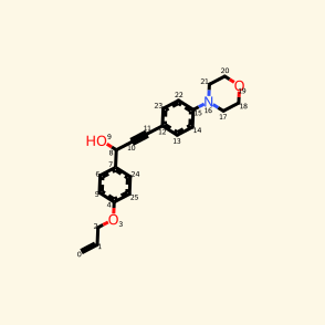 C=CCOc1ccc(C(O)C#Cc2ccc(N3CCOCC3)cc2)cc1